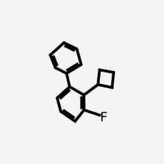 Fc1cccc(-c2ccccc2)c1C1CCC1